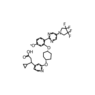 COc1ccc(-c2ncc(N3CC(F)(F)C(F)(F)C3)cn2)c(O[C@H]2CC[C@H](Oc3cc(C(CC(=O)O)C4CC4)ccn3)CC2)c1